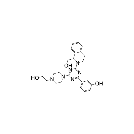 OCCN1CCN(c2nc(-c3cccc(O)c3)nc(N3CCc4ccccc4C3CO)n2)CC1